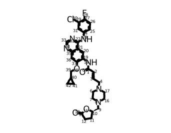 O=C(/C=C/CN1CCN(C[C@H]2CCC(=O)O2)CC1)Nc1cc2c(Nc3ccc(F)c(Cl)c3)ncnc2cc1OCC1CC1